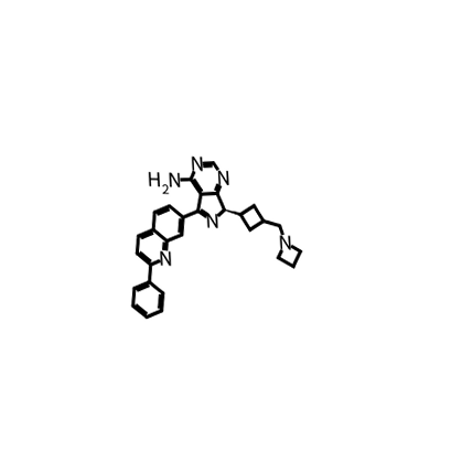 Nc1ncnc2c1C(c1ccc3ccc(-c4ccccc4)nc3c1)=N[C@@H]2C1CC(CN2CCC2)C1